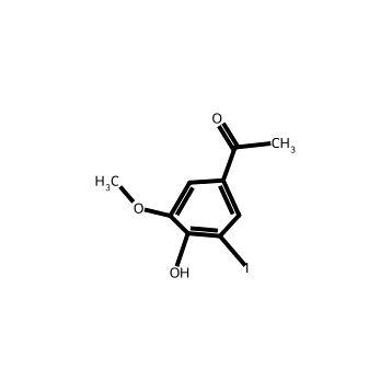 COc1cc(C(C)=O)cc(I)c1O